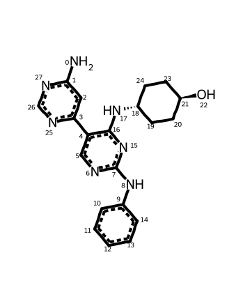 Nc1cc(-c2cnc(Nc3ccccc3)nc2N[C@H]2CC[C@H](O)CC2)ncn1